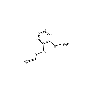 C=CCOc1ccccc1CS(=O)(=O)O